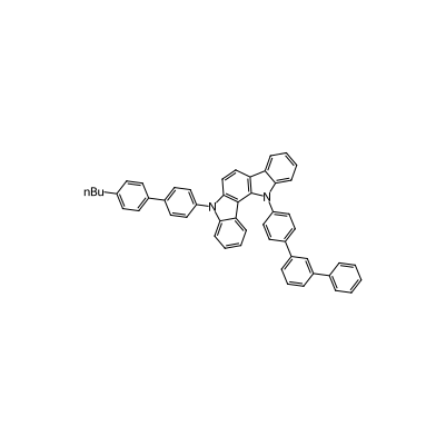 CCCCc1ccc(-c2ccc(-n3c4ccccc4c4c3ccc3c5ccccc5n(-c5ccc(-c6cccc(-c7ccccc7)c6)cc5)c34)cc2)cc1